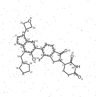 O=C1CCC(N2Cc3c(ccc(-c4nc5c(ccn5C5COC5)c(CN5CCCC5)c4Cl)c3F)C2=O)C(=O)N1